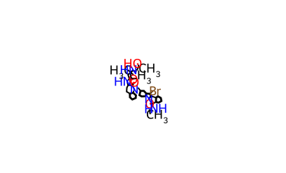 CCNC(=O)c1ccccc1-c1[nH]c2ccc(CN3C(=O)C(NC(=O)CC(C)(C)NC[C@@H](C)O)CCc4ccccc43)cc2c1Br